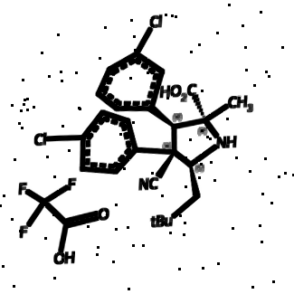 CC(C)(C)C[C@@H]1N[C@@](C)(C(=O)O)[C@H](c2cccc(Cl)c2)[C@@]1(C#N)c1ccc(Cl)cc1.O=C(O)C(F)(F)F